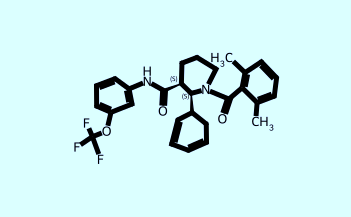 Cc1cccc(C)c1C(=O)N1CCC[C@H](C(=O)Nc2cccc(OC(F)(F)F)c2)[C@@H]1C1C=CC=CC1